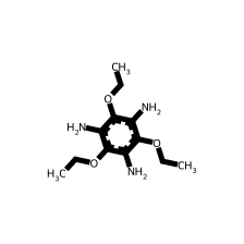 CCOc1c(N)c(OCC)c(N)c(OCC)c1N